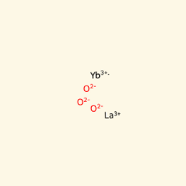 [La+3].[O-2].[O-2].[O-2].[Yb+3]